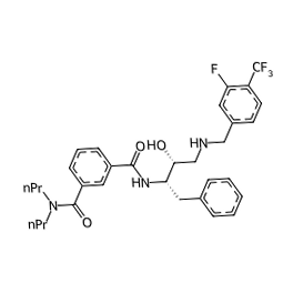 CCCN(CCC)C(=O)c1cccc(C(=O)N[C@@H](Cc2ccccc2)[C@H](O)CNCc2ccc(C(F)(F)F)c(F)c2)c1